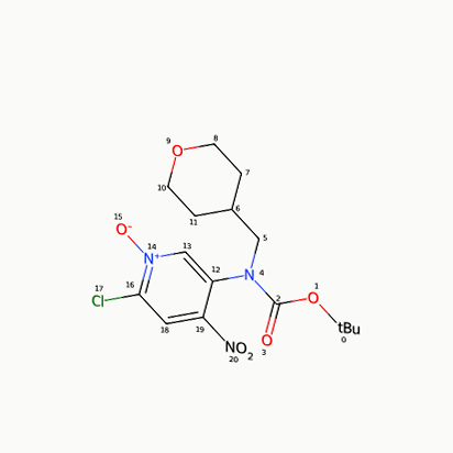 CC(C)(C)OC(=O)N(CC1CCOCC1)c1c[n+]([O-])c(Cl)cc1[N+](=O)[O-]